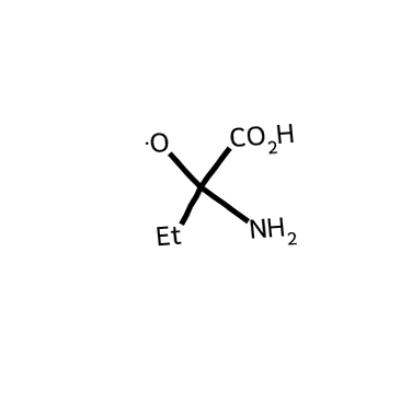 CCC(N)([O])C(=O)O